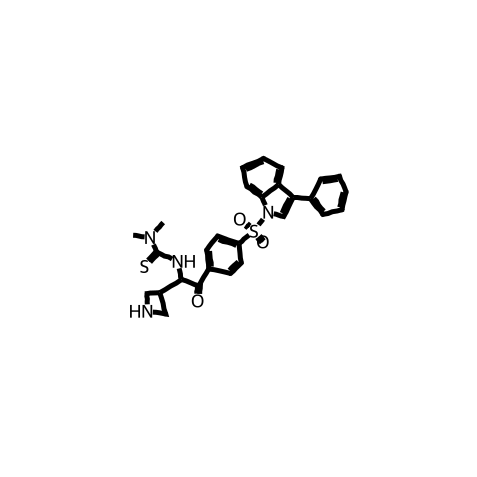 CN(C)C(=S)NC(C(=O)c1ccc(S(=O)(=O)n2cc(-c3ccccc3)c3ccccc32)cc1)C1CNC1